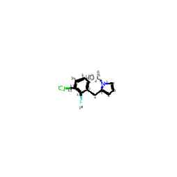 O=C(O)n1cccc1Cc1cccc(Cl)c1F